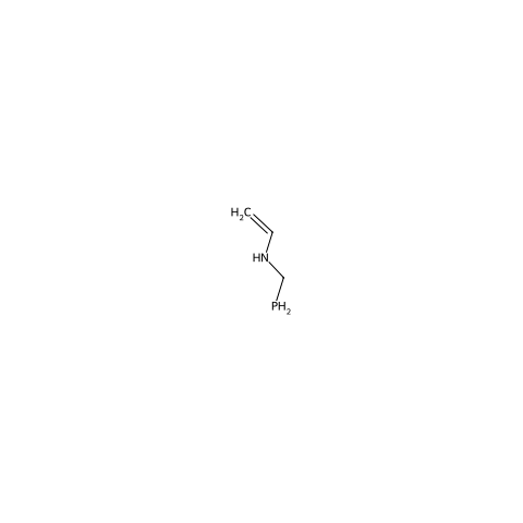 C=CNCP